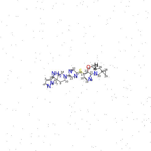 N[C@@H]1c2ccnn2CC12CCN(c1cnc(Sc3ccnc4c3OC[C@@H]3CC5(CC5)CN43)cn1)CC2